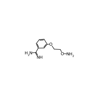 N=C(N)c1cccc(OCCON)c1